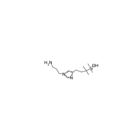 CC(C)(CCc1cn(CCCN)cn1)[Si](C)(C)O